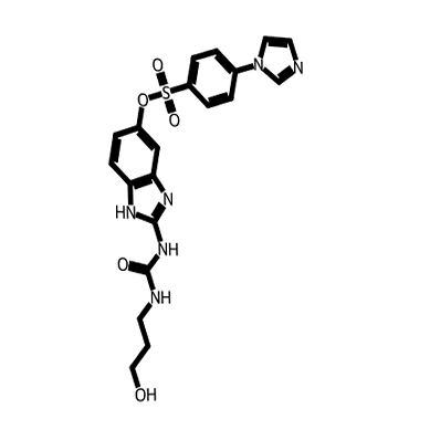 O=C(NCCCO)Nc1nc2cc(OS(=O)(=O)c3ccc(-n4ccnc4)cc3)ccc2[nH]1